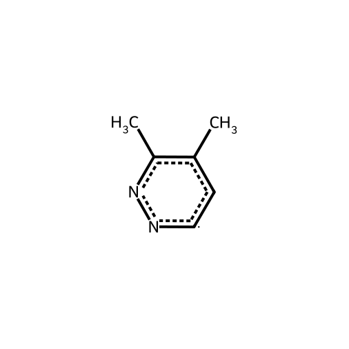 Cc1c[c]nnc1C